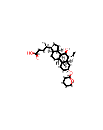 CC[C@H]1C(=O)[C@@H]2[C@H](CC[C@]3(C)[C@@H]([C@H](C)CCC(=O)O)CC[C@@H]23)[C@@]2(C)CC[C@@H](OC3CCCCO3)C[C@@H]12